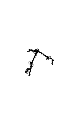 C=C=C=CC(CCCC)CCOC(=O)CCCCCCCCCC1(CCCCCCCCCC(=O)OCCC(C)CCCC)OCC(CCN(C)CC)O1